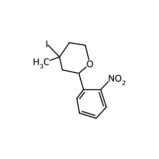 CC1(I)CCOC(c2ccccc2[N+](=O)[O-])C1